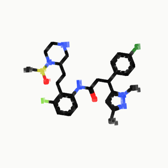 CCC[S+]([O-])N1CCNCC1CCc1c(F)cccc1NC(=O)CC(c1ccc(Cl)cc1)c1cc(C(F)(F)F)nn1C